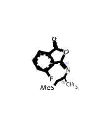 CSC[C@H](C)/N=C1/OC(=O)c2cccc(F)c21